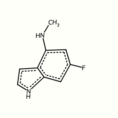 CNc1cc(F)cc2[nH]ccc12